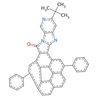 CC(C)(C)c1cc2nc3c4c5cc(-c6ccccc6)c6ccc7ccc8c(-c9ccccc9)cc(c4c(=O)n3c2cn1)c1c8c7c6c51